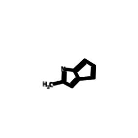 CC1=NC2=CC=CC2=C1